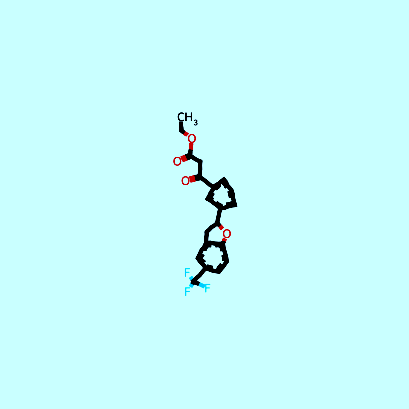 CCOC(=O)CC(=O)c1cccc(C2Cc3cc(C(F)(F)F)ccc3O2)c1